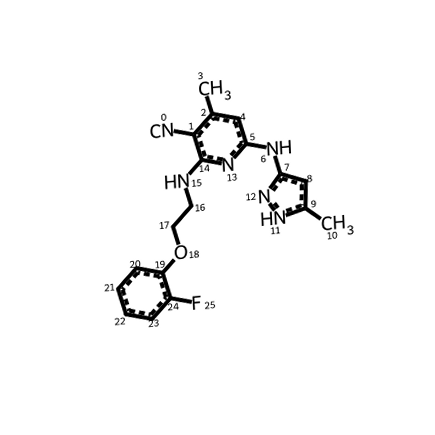 [C-]#[N+]c1c(C)cc(Nc2cc(C)[nH]n2)nc1NCCOc1ccccc1F